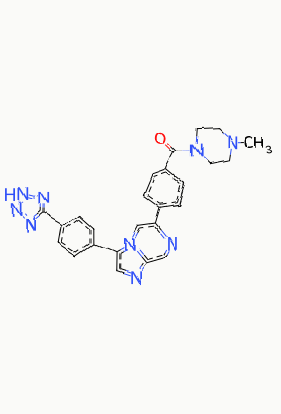 CN1CCN(C(=O)c2ccc(-c3cn4c(-c5ccc(-c6nn[nH]n6)cc5)cnc4cn3)cc2)CC1